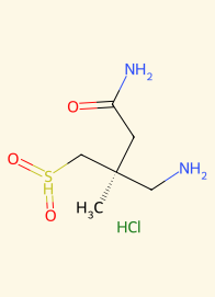 C[C@@](CN)(CC(N)=O)C[SH](=O)=O.Cl